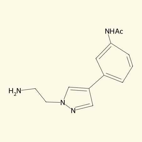 CC(=O)Nc1cccc(-c2cnn(CCN)c2)c1